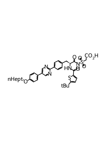 CCCCCCCOc1ccc(-c2cnc(-c3ccc(C[C@H](NC(=O)c4ccc(C(C)(C)C)s4)C(=O)NS(=O)(=O)CC(=O)O)cc3)nc2)cc1